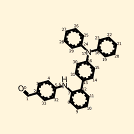 O=Cc1ccc(Nc2ccccc2-c2ccc(N(c3ccccc3)c3ccccc3)cc2)cc1